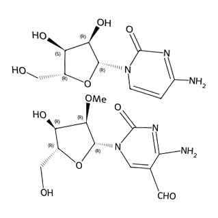 CO[C@@H]1[C@H](O)[C@@H](CO)O[C@H]1n1cc(C=O)c(N)nc1=O.Nc1ccn([C@@H]2O[C@H](CO)[C@@H](O)[C@H]2O)c(=O)n1